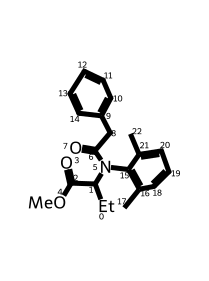 CCC(C(=O)OC)N(C(=O)Cc1ccccc1)c1c(C)cccc1C